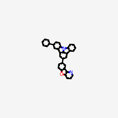 c1ccc(-c2ccc3c(c2)c2cc(-c4ccc5oc6cccnc6c5c4)cc4c5ccccc5n3c42)cc1